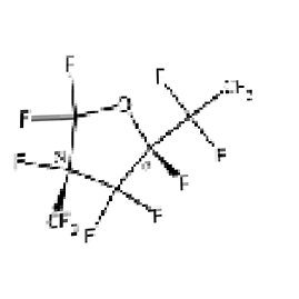 FC(F)(F)C(F)(F)[C@@]1(F)OC(F)(F)[C@](F)(C(F)(F)F)C1(F)F